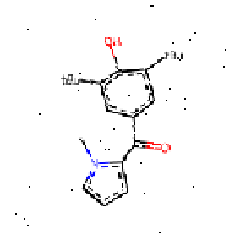 Cn1cccc1C(=O)c1cc(C(C)(C)C)c(O)c(C(C)(C)C)c1